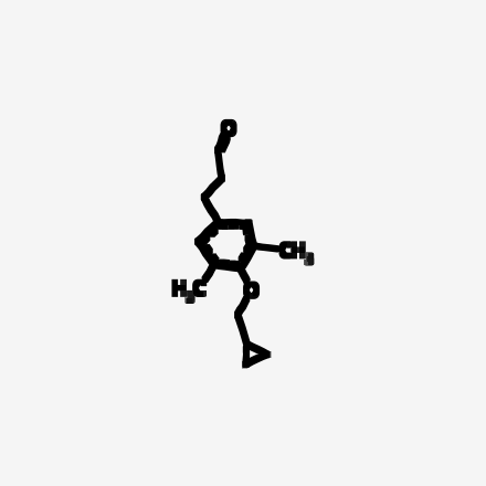 Cc1cc(CCC=O)cc(C)c1OCC1CC1